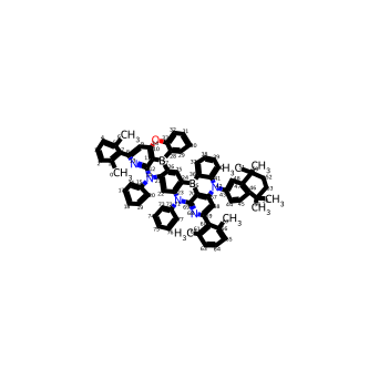 Cc1cccc(C)c1-c1cc2c3c(n1)N(c1ccccc1)c1cc4c(cc1B3c1ccccc1O2)B1c2ccccc2N(c2ccc3c(c2)C(C)(C)CCC3(C)C)c2cc(-c3c(C)cccc3C)nc(c21)N4c1ccccc1